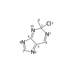 CC1(Cl)N=CC2=NC=NC2=N1